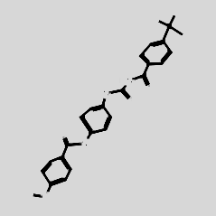 COc1ccc(C(=O)Nc2ccc(NC(=S)NC(=O)c3ccc(C(C)(C)C)cc3)cc2)cc1